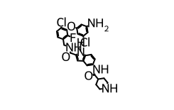 Nc1cc(Cl)cc(Oc2c(Cl)ccc(CNC(=O)c3cc4cc(NC(=O)C5CCNCC5)ccc4[nH]3)c2F)c1